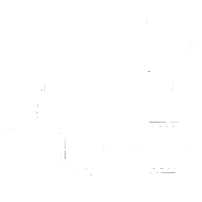 NC(=O)C1=CNN(c2ccccc2OC(F)(F)C(F)F)C1